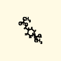 CC(=O)OCC1CCN(C(C)=O)CC1